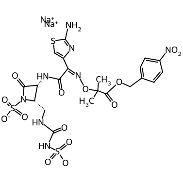 CC(C)(O/N=C(\C(=O)N[C@H]1C(=O)N(S(=O)(=O)[O-])[C@H]1CNC(=O)NS(=O)(=O)[O-])c1csc(N)n1)C(=O)OCc1ccc([N+](=O)[O-])cc1.[Na+].[Na+]